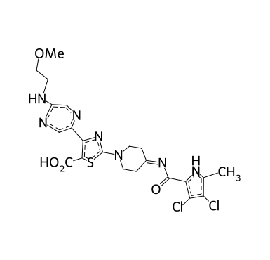 COCCNc1cnc(-c2nc(N3CCC(=NC(=O)c4[nH]c(C)c(Cl)c4Cl)CC3)sc2C(=O)O)cn1